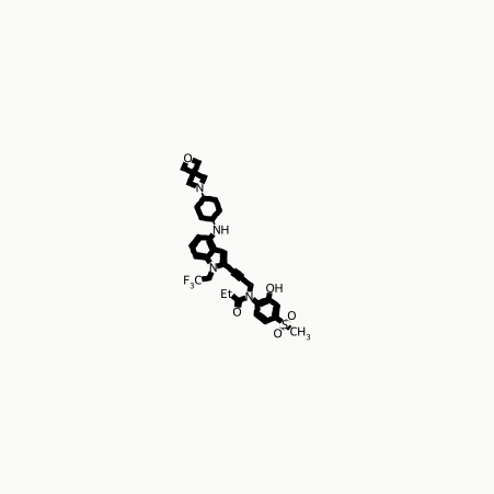 CCC(=O)N(CC#Cc1cc2c(N[C@H]3CC[C@@H](N4CC5(COC5)C4)CC3)cccc2n1CC(F)(F)F)c1ccc(S(C)(=O)=O)cc1O